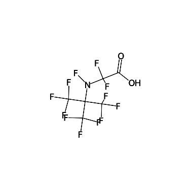 O=C(O)C(F)(F)N(F)C(C(F)(F)F)(C(F)(F)F)C(F)(F)F